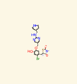 CN1C(=O)S/C(=C\c2cc(OCc3cnc(NCc4ccncc4)nc3)c(O)cc2Br)C1=O